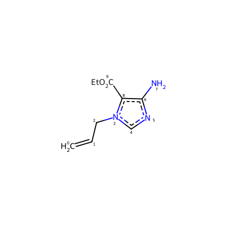 C=CCn1cnc(N)c1C(=O)OCC